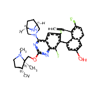 C#Cc1c(F)ccc2cc(O)cc(-c3c(F)cc4c(N5C[C@H]6CC[C@@H](C5)N6)nc(OC[C@@]5(C)[C@H](C#N)CCN5C)nc4c3F)c12